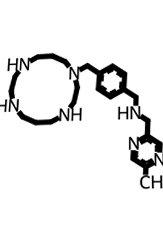 Cc1cnc(CNCc2ccc(CN3CCCNCCNCCCNCC3)cc2)cn1